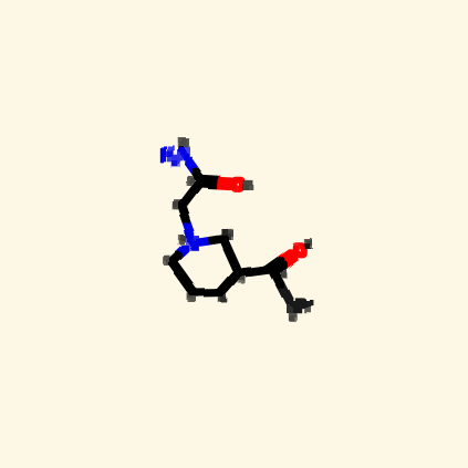 CCCC(=O)C1CCCN(CC(N)=O)C1